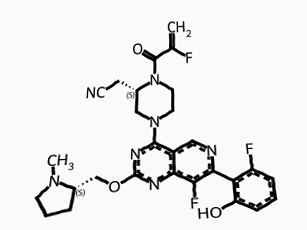 C=C(F)C(=O)N1CCN(c2nc(OC[C@@H]3CCCN3C)nc3c(F)c(-c4c(O)cccc4F)ncc23)C[C@@H]1CC#N